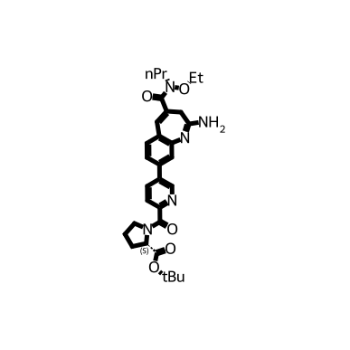 CCCN(OCC)C(=O)C1=Cc2ccc(-c3ccc(C(=O)N4CCC[C@H]4C(=O)OC(C)(C)C)nc3)cc2N=C(N)C1